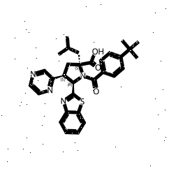 CC(C)C[C@@]1(C(=O)O)C[C@H](c2cnccn2)[C@H](c2nc3ccccc3s2)N1C(=O)c1ccc(C(C)(C)C)cc1